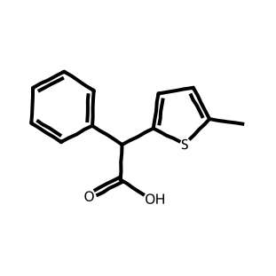 Cc1ccc(C(C(=O)O)c2ccccc2)s1